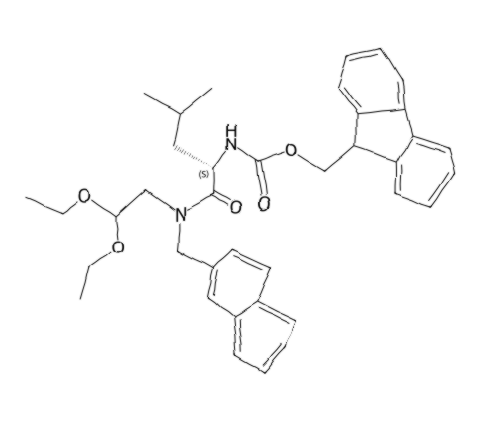 CCOC(CN(Cc1ccc2ccccc2c1)C(=O)[C@H](CC(C)C)NC(=O)OCC1c2ccccc2-c2ccccc21)OCC